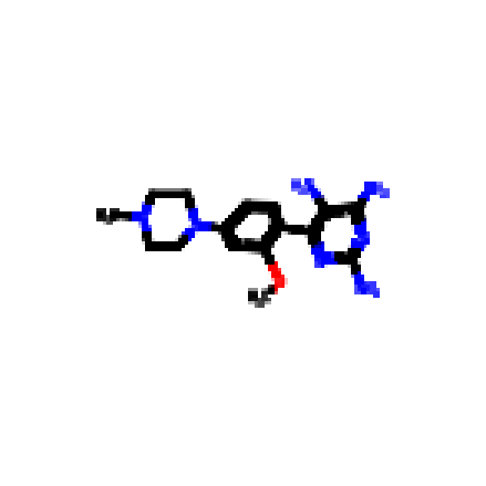 COc1cc(N2CCN(C)CC2)ccc1-c1nc(N)nc(N)c1N